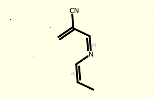 C=C(C#N)/C=N\C=C/C